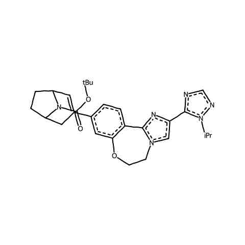 CC(C)n1ncnc1-c1cn2c(n1)-c1ccc(C3=CC4CCC(C3)N4C(=O)OC(C)(C)C)cc1OCC2